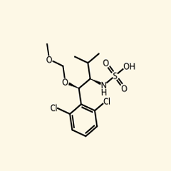 COCO[C@H](c1c(Cl)cccc1Cl)[C@H](NS(=O)(=O)O)C(C)C